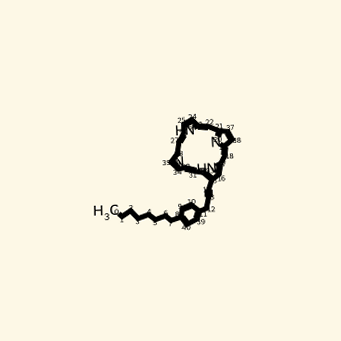 CCCCCCCCc1ccc(CC#Cc2cc3cc4nc(cc5ccc(cc6nc(cc2[nH]3)C=C6)[nH]5)C=C4)cc1